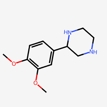 COc1ccc(C2CNCCN2)cc1OC